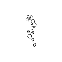 O=S(=O)(Cl)c1ccc2c(c1)O[C@H](CCS(=O)(=O)c1cccc(OCC3CO3)c1)CC2